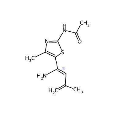 C=C(C)/C=C(\N)c1sc(NC(C)=O)nc1C